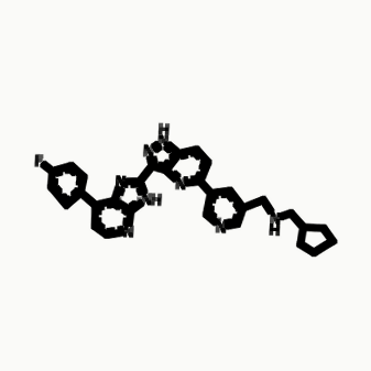 Fc1ccc(-c2ccnc3[nH]c(-c4n[nH]c5ccc(-c6cncc(CNCC7CCCC7)c6)nc45)nc23)cc1